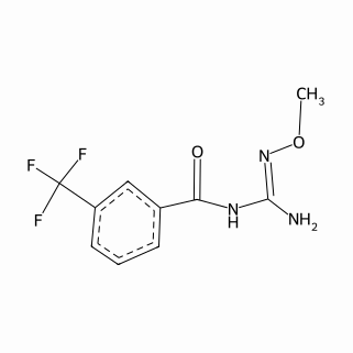 CON=C(N)NC(=O)c1cccc(C(F)(F)F)c1